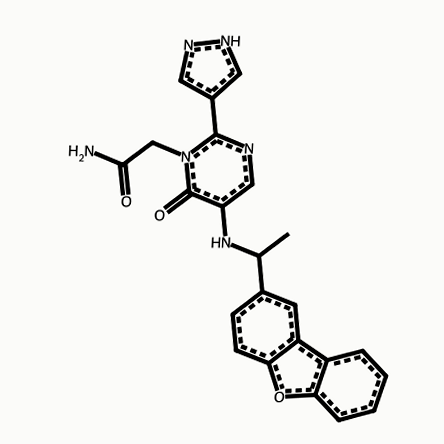 CC(Nc1cnc(-c2cn[nH]c2)n(CC(N)=O)c1=O)c1ccc2oc3ccccc3c2c1